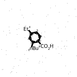 CCCCc1cc(CC)ccc1C(=O)O